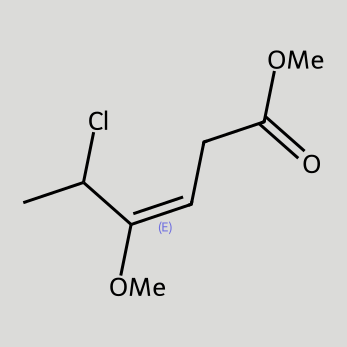 COC(=O)C/C=C(/OC)C(C)Cl